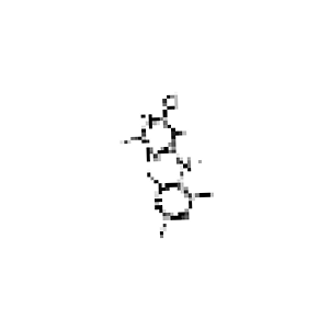 Cc1cc(C)c(N(C)c2nc(C)nc(Cl)c2C)c(C)c1